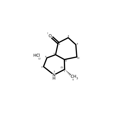 C[C@@H]1NCCC2C(=O)CCCC21.Cl